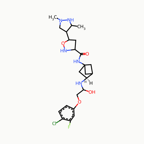 CC1NN(C)CC1C1CC(C(=O)NC23CC(C2)[C@@H](NC(O)COc2ccc(Cl)c(F)c2)C3)NO1